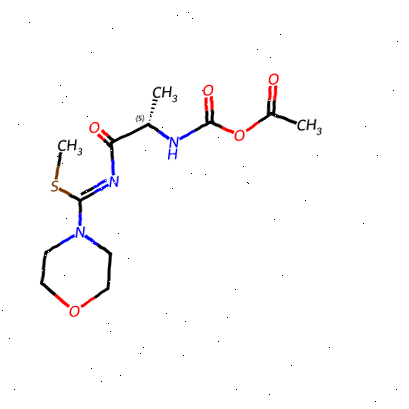 CSC(=NC(=O)[C@H](C)NC(=O)OC(C)=O)N1CCOCC1